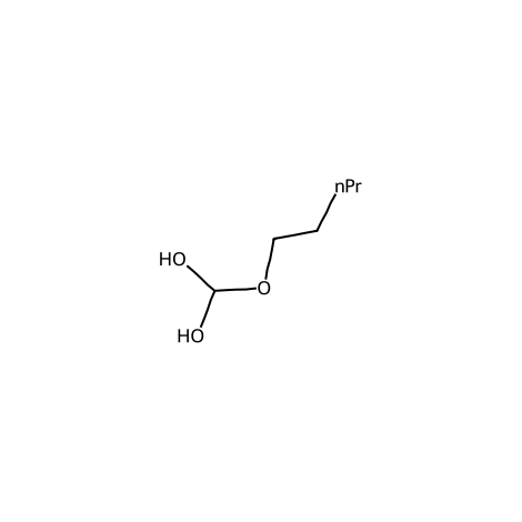 CCCCCOC(O)O